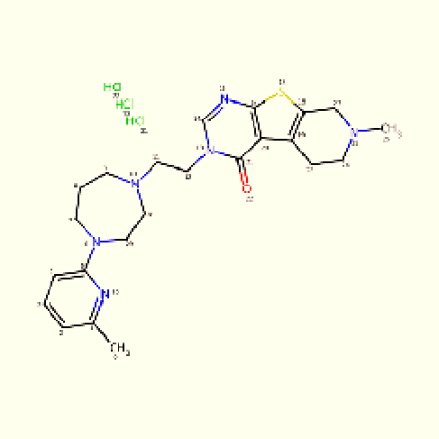 Cc1cccc(N2CCCN(CCn3cnc4sc5c(c4c3=O)CCN(C)C5)CC2)n1.Cl.Cl.Cl